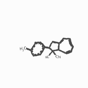 Cc1ccc(C2CC3=CC=CC=CC3C2(C#N)C#N)cc1